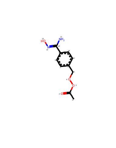 CC(=O)OOCc1ccc(C(N)=NO)cc1